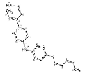 C/C=C\C=C/Cc1ccc(Nc2ccc(C(/C=C\C)=C/C)cc2)cc1